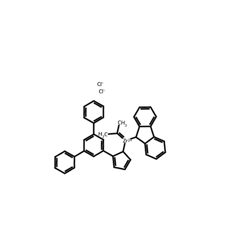 C[C](C)=[Zr+2]([CH]1C=CC=C1c1cc(-c2ccccc2)cc(-c2ccccc2)c1)[CH]1c2ccccc2-c2ccccc21.[Cl-].[Cl-]